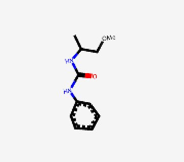 COCC(C)NC(=O)Nc1ccccc1